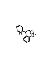 O=CC(c1ccccn1)c1ccccc1Br